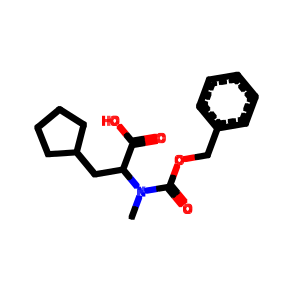 CN(C(=O)OCc1ccccc1)C(CC1CCCC1)C(=O)O